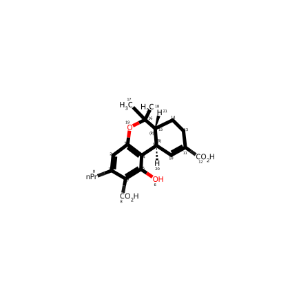 CCCc1cc2c(c(O)c1C(=O)O)[C@@H]1C=C(C(=O)O)CC[C@H]1C(C)(C)O2